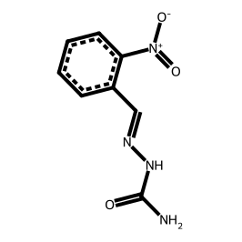 NC(=O)NN=Cc1ccccc1[N+](=O)[O-]